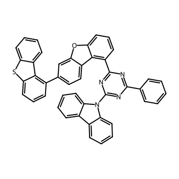 c1ccc(-c2nc(-c3cccc4oc5cc(-c6cccc7sc8ccccc8c67)ccc5c34)nc(-n3c4ccccc4c4ccccc43)n2)cc1